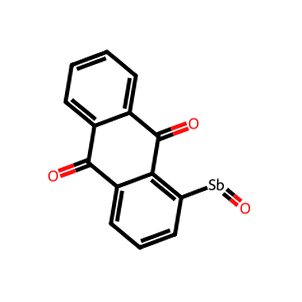 [O]=[Sb][c]1cccc2c1C(=O)c1ccccc1C2=O